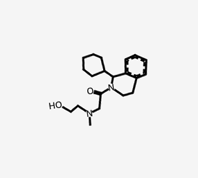 CN(CCO)CC(=O)N1CCc2ccccc2C1C1CCCCC1